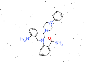 NC(=O)c1ccccc1N(CCN1CCN(c2ccccc2)CC1)Cc1ccccc1N